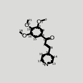 COc1cc(C(=O)C=Cc2ccncc2)cc(OC)c1OC